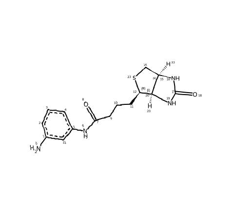 Nc1cccc(NC(=O)CCC[C@H]2SC[C@H]3NC(=O)N[C@H]32)c1